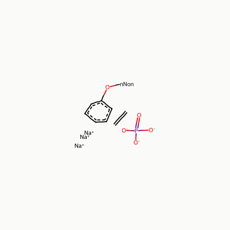 C=C.CCCCCCCCCOc1ccccc1.O=P([O-])([O-])[O-].[Na+].[Na+].[Na+]